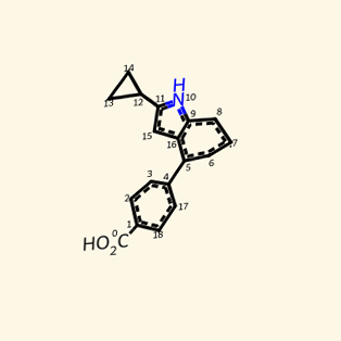 O=C(O)c1ccc(-c2c[c]cc3[nH]c(C4CC4)cc23)cc1